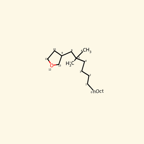 CCCCCCCCCCCCC(C)(C)CC1CCOC1